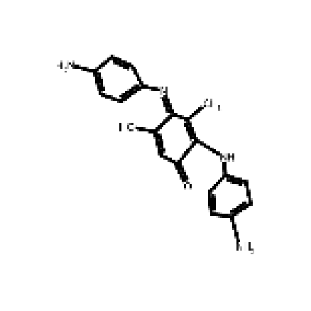 CC1=C(Nc2ccc(N)cc2)C(=O)C=C(O)/C1=N\c1ccc(N)cc1